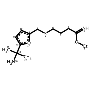 CCOC(=N)CCCSCc1ccc(C(C)(C)N)o1